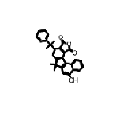 CC(C)(c1ccccc1)c1cc2c(c3c1C(=O)OC3=O)-c1c(cc(O)c3ccccc13)C2(C)C